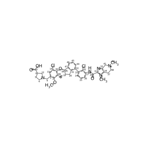 COc1c(CN2CCC(C(=O)O)C2)cc(Cl)c(O[C@@H]2CCc3c(-c4cccc(NC(=O)c5nc6c(n5C)CCN(C)C6)c4Cl)cccc32)c1F